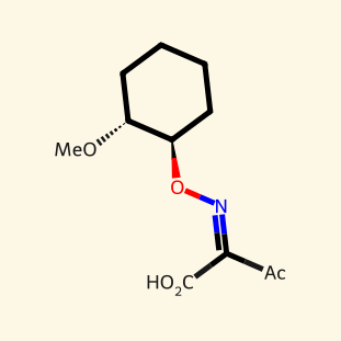 CO[C@@H]1CCCC[C@H]1ON=C(C(C)=O)C(=O)O